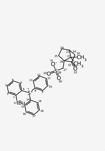 CC(C)(C)c1ccccc1[S+](c1ccccc1)c1ccccc1.CC1(C)C2CCC1(CS(=O)(=O)[O-])C(=O)C2